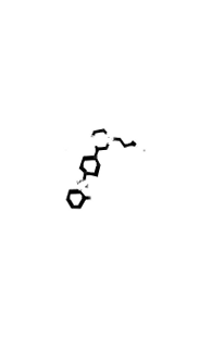 Cc1ccccc1S(=O)(=O)c1ccc(C2CN(CCC(=O)O)CCO2)cc1.Cl